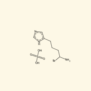 NC(Br)CCCc1cnc[nH]1.O=S(=O)(O)O